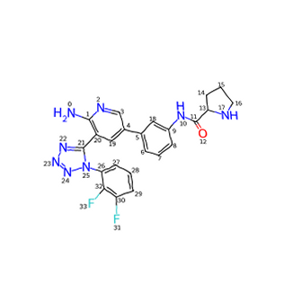 Nc1ncc(-c2cccc(NC(=O)C3CCCN3)c2)cc1-c1nnnn1-c1cccc(F)c1F